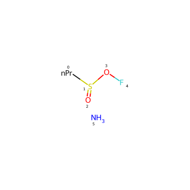 CCCS(=O)OF.N